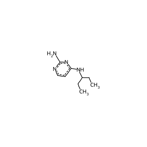 CCC(CC)Nc1ccnc(N)n1